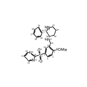 COc1ccc(S(=O)(=O)c2ncccn2)cc1CN[C@H]1CCCN[C@H]1c1ccccc1